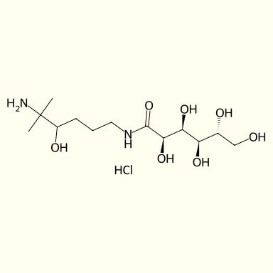 CC(C)(N)C(O)CCCNC(=O)[C@H](O)[C@@H](O)[C@H](O)[C@H](O)CO.Cl